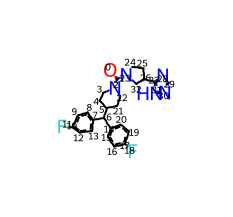 O=C(N1CCC(C(c2ccc(F)cc2)c2ccc(F)cc2)CC1)N1CCC(c2ncn[nH]2)C1